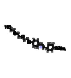 CNc1ccc(/C=C/c2ccc(OCCOCCOCCO)cc2)cc1